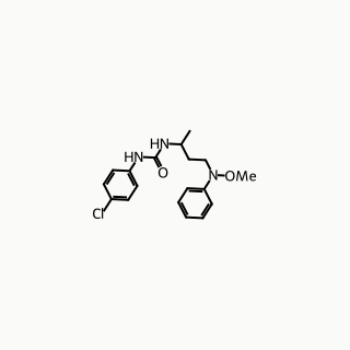 CON(CCC(C)NC(=O)Nc1ccc(Cl)cc1)c1ccccc1